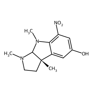 CN1CC[C@@]2(C)c3cc(O)cc([N+](=O)[O-])c3N(C)C12